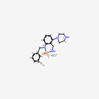 Cl.O=S1(=O)NCc2c(N3CCNCC3)cccc2N1Cc1cccc(F)c1